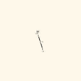 I[I-]I.[In]